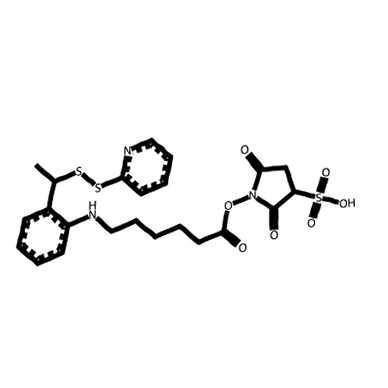 CC(SSc1ccccn1)c1ccccc1NCCCCCC(=O)ON1C(=O)CC(S(=O)(=O)O)C1=O